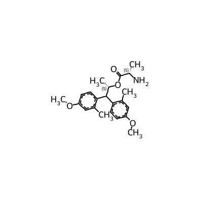 COc1ccc(C(c2ccc(OC)cc2C)[C@H](C)OC(=O)[C@H](C)N)c(C)c1